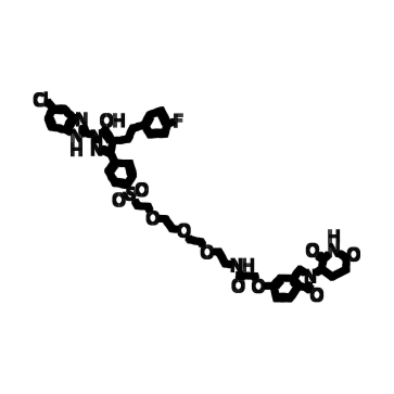 O=C(COc1ccc2c(c1)CN(C1CCC(=O)NC1=O)C2=O)NCCOCCOCCOCCS(=O)(=O)c1ccc(-c2nn(-c3nc4cc(Cl)ccc4[nH]3)c(O)c2CCc2ccc(F)cc2)cc1